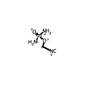 [C-]#[N+]COP(N)(N)=O